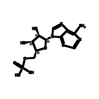 Nc1ncnc2c1ncn2[C@@H]1O[C@H](COP(=O)(O)O)[C@H](O)[C@@H]1O